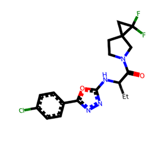 CCC(Nc1nnc(-c2ccc(Cl)cc2)o1)C(=O)N1CCC2(C1)CC2(F)F